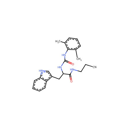 Cc1cccc(C)c1NC(=O)NC(Cc1c[nH]c2ccccc12)C(=O)NCCC#N